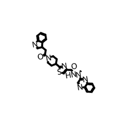 CN(NC(=O)c1csc(C2CCN(C(=O)CC3C=Nc4ccccc43)CC2)n1)c1cnc2ccccc2n1